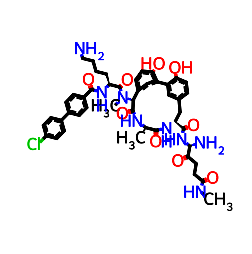 CNC(=O)CCC(=O)[C@H](N)NC(=O)[C@@H]1Cc2ccc(O)c(c2)-c2cc(ccc2O)[C@H](N(C)C(=O)[C@H](CCCCN)NC(=O)c2ccc(-c3ccc(Cl)cc3)cc2)C(=O)N[C@@H](C)C(=O)N1